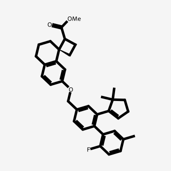 COC(=O)C1CC[C@@]12CCCc1ccc(OCc3ccc(-c4cc(C)ccc4F)c(C4=CCCC4(C)C)c3)cc12